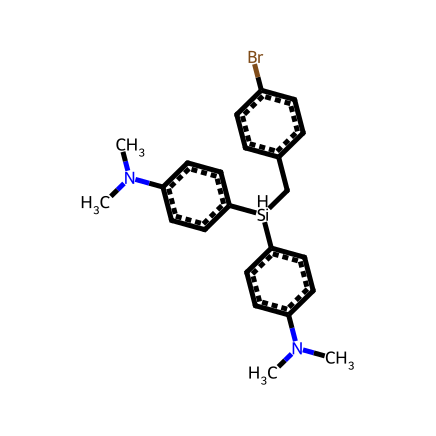 CN(C)c1ccc([SiH](Cc2ccc(Br)cc2)c2ccc(N(C)C)cc2)cc1